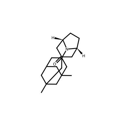 CC12CC3CC(C)(C1)CC(N1[C@@H]4CC[C@H]1CC(=O)C4)(C3)C2